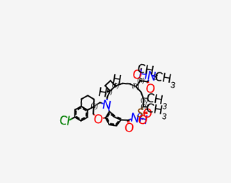 CNC(=O)[C@H](OC)[C@@H]1CC[C@@H]2CC[C@H]2CN2C[C@@]3(CCCc4cc(Cl)ccc43)COc3ccc(cc32)C(=O)NS(=O)(=O)[C@H](C)[C@@H](C)C1